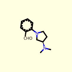 CN(C)[C@@H]1CCN(c2ccccc2C=O)C1